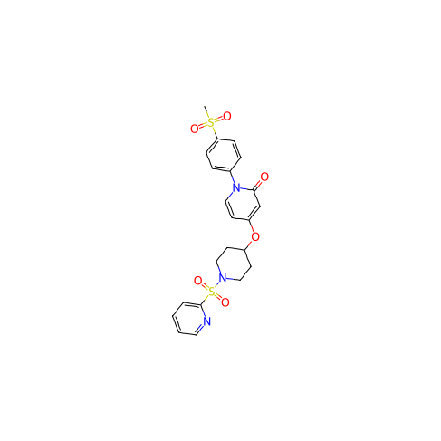 CS(=O)(=O)c1ccc(-n2ccc(OC3CCN(S(=O)(=O)c4ccccn4)CC3)cc2=O)cc1